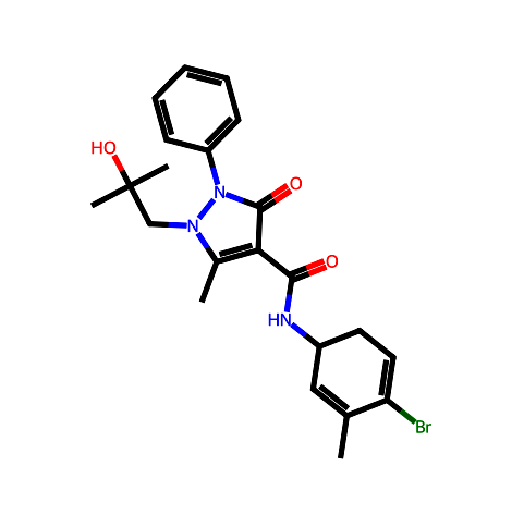 CC1=CC(NC(=O)c2c(C)n(CC(C)(C)O)n(-c3ccccc3)c2=O)CC=C1Br